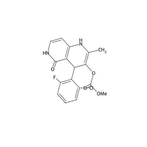 COC(=O)OC1=C(C)Nc2cc[nH]c(=O)c2C1c1c(F)cccc1Cl